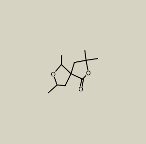 CC1CC2(CC(C)(C)OC2=O)C(C)O1